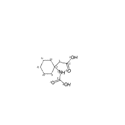 O=C(O)CC1(NC(=O)O)CCCCC1